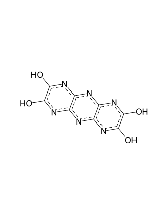 Oc1nc2nc3nc(O)c(O)nc3nc2nc1O